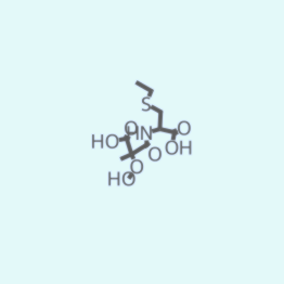 CCSCC(NC(=O)C(C)(OO)C(=O)O)C(=O)O